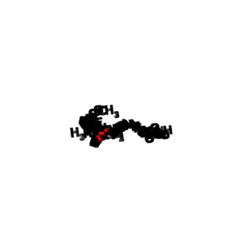 CCc1cccc2cc(OCOC)cc(-c3ncc4c(N5CC6CCC(C5)N6C(=O)OC(C)(C)C)nc(OCC5(CN6CCC7(CC6)CN(CC6CN(c8ccc9c(c8)CN(C8CCC(=O)NC8=O)C9=O)C6)C7)CC5)nc4c3F)c12